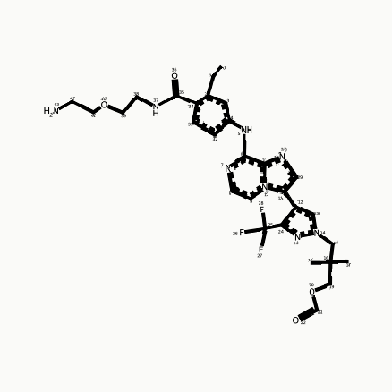 CCc1cc(Nc2nccn3c(-c4cn(CC(C)(C)COC=O)nc4C(F)(F)F)cnc23)ccc1C(=O)NCCOCCN